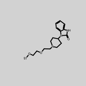 CCOCCOCCN1CCC(n2c(=O)[nH]c3ccccc32)CC1